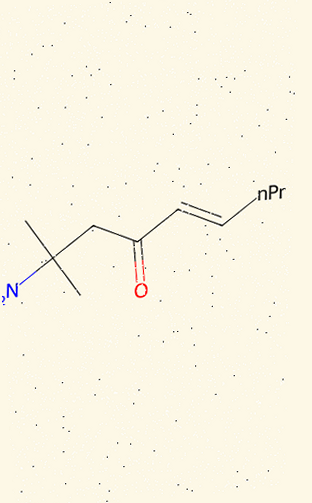 CCCC=CC(=O)CC(C)(C)N